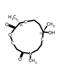 C[C@@H]1CCC[C@](C)(O)CCCN(C)C(=O)CCOC1=O